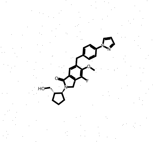 COc1c(Cc2ccc(-n3cccn3)cc2)cc2c(c1F)CN([C@H]1CCC[C@@H]1CO)C2=O